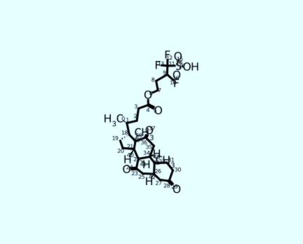 C[C@H](CCC(=O)OCCC(F)C(F)(F)S(=O)(=O)O)[C@H]1CC[C@H]2[C@@H]3C(=O)C[C@@H]4CC(=O)CC[C@]4(C)[C@H]3CC(=O)[C@]12C